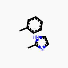 Cc1ccccc1.Cc1ncc[nH]1